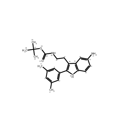 Cc1cc(C)cc(-c2[nH]c3ccc(N)cc3c2CCNC(=O)OC(C)(C)C)c1